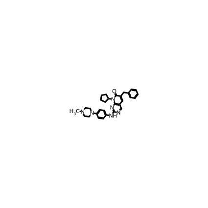 CN1CCN(c2ccc(Nc3ncc4cc(Cc5ccccc5)c(=O)n(C5CCCC5)c4n3)cc2)CC1